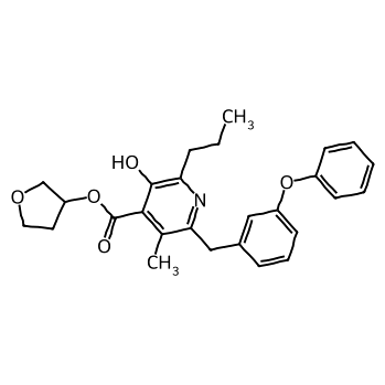 CCCc1nc(Cc2cccc(Oc3ccccc3)c2)c(C)c(C(=O)OC2CCOC2)c1O